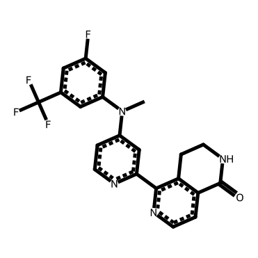 CN(c1cc(F)cc(C(F)(F)F)c1)c1ccnc(-c2nccc3c2CCNC3=O)c1